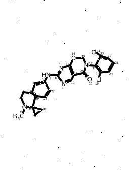 CN1CCc2cc(Nc3ncc4c(n3)OCN(c3c(Cl)cccc3Cl)C4=O)ccc2C12CC2